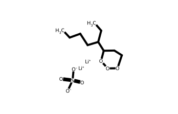 CCCCC(CC)C1CCOOO1.O=S(=O)([O-])[O-].[Li+].[Li+]